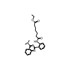 CCOC(=O)CCCCCC(=O)Nc1ccccc1-c1nc(N(C)C)c2ccccc2n1